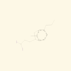 CCCc1ccc2c(C)c1CC2CCC(I)I